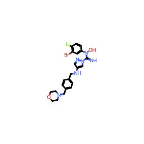 N=C(N(O)c1ccc(F)c(Br)c1)n1cc(NCc2ccc(CN3CCOCC3)cc2)cn1